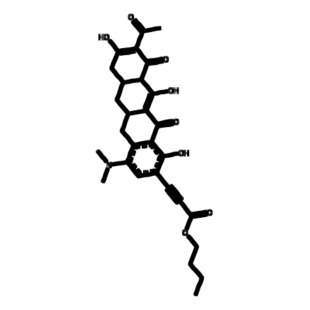 CCCCOC(=O)C#Cc1cc(N(C)C)c2c(c1O)C(=O)C1=C(O)C3C(=O)C(C(C)=O)=C(O)CC3CC1C2